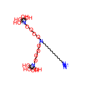 [N-]=[N+]=NCCCCCCCCCCCCCCCCCCN(CCOCCOCCOCCOCCN1C[C@H](O)[C@@H](O)[C@H](O)[C@H]1CO)CCOCCOCCOCCOCCN1C[C@H](O)[C@@H](O)[C@H](O)[C@H]1CO